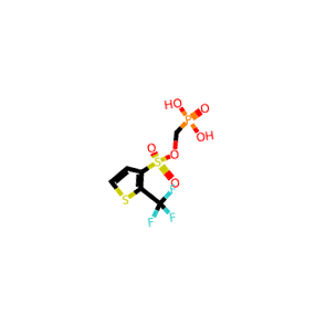 O=P(O)(O)COS(=O)(=O)c1ccsc1C(F)(F)F